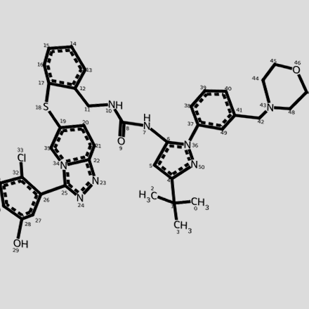 CC(C)(C)c1cc(NC(=O)NCc2ccccc2Sc2ccc3nnc(-c4cc(O)ccc4Cl)n3c2)n(-c2cccc(CN3CCOCC3)c2)n1